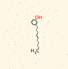 CCCCC/C=C/CCCc1cccc(O)c1